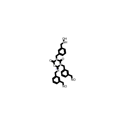 O=NCc1cccc(C/N=c2\oc(=O)n(Cc3cccc(CNO)c3)c(=O)n2Cc2cccc(CN=O)c2)c1